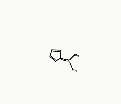 CC(C)(C)[Si](=C1[C]=CC=C1)C(C)(C)C